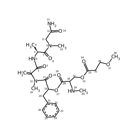 C=C(C(=O)N[C@@H](C)C(=O)N(C)CC(N)=O)N(C)C(=O)C(Cc1ccccc1)OC(=O)C(COC(=O)CCOC)NC